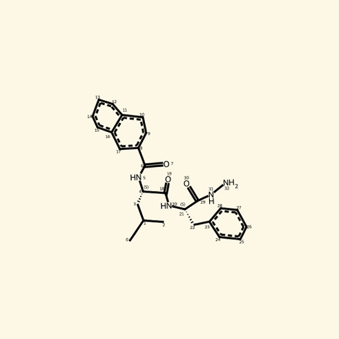 CC(C)C[C@H](NC(=O)c1ccc2ccccc2c1)C(=O)N[C@@H](Cc1ccccc1)C(=O)NN